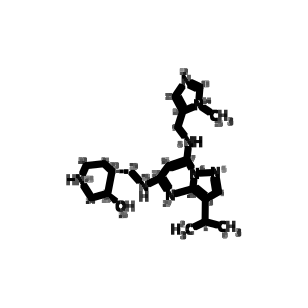 CC(C)c1cnn2c(NCc3cncn3C)cc(NC[C@H]3CCNC[C@@H]3O)nc12